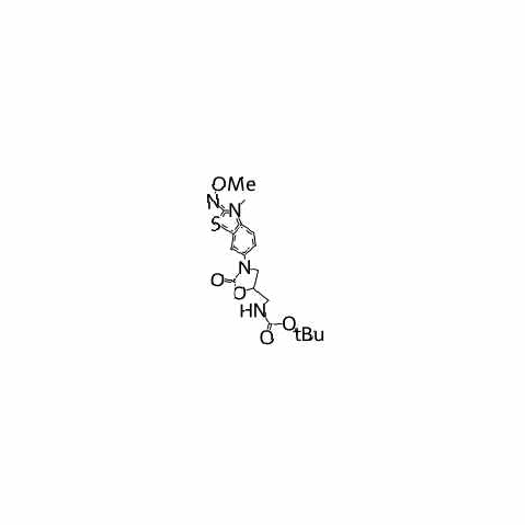 CON=c1sc2cc(N3CC(CNC(=O)OC(C)(C)C)OC3=O)ccc2n1C